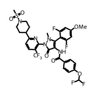 COc1cc(F)c(-c2c(NC(=O)c3ccc(OC(F)F)cc3)c(=O)n(-c3nc(C4CCN(S(C)(=O)=O)CC4)ccc3C(F)(F)F)n2C)c(F)c1